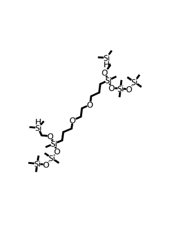 C[SiH](C)CO[Si](C)(CCCOCCOCCC[Si](C)(OC[SiH](C)C)O[Si](C)(C)O[Si](C)(C)C)O[Si](C)(C)O[Si](C)(C)C